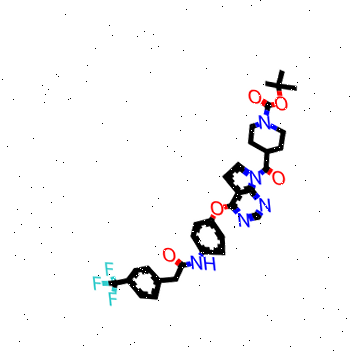 CC(C)(C)OC(=O)N1CCC(C(=O)n2ccc3c(Oc4ccc(NC(=O)Cc5ccc(C(F)(F)F)cc5)cc4)ncnc32)CC1